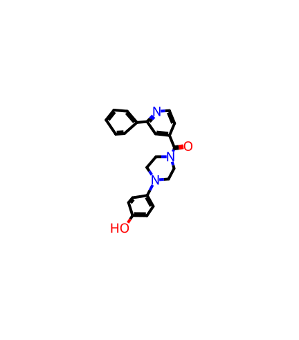 O=C(c1ccnc(-c2ccccc2)c1)N1CCN(c2ccc(O)cc2)CC1